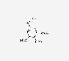 COc1cc(NC(C)(C)C)cc(OC)c1OC